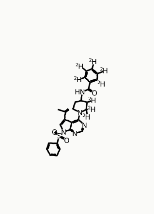 [2H]c1c([2H])c([2H])c(C(=O)NC2CCN(c3ncnc4c3c(C(=C)C)cn4S(=O)(=O)c3ccccc3)C([2H])([2H])C2[2H])c([2H])c1[2H]